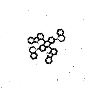 c1ccc2c(c1)CCCN2c1ccc2c(-c3cccc4c3sc3ccccc34)c3cc(N4CCCc5ccccc54)ccc3c(-c3cccc4c3sc3ccccc34)c2c1